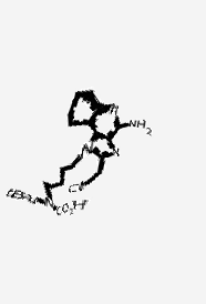 CC(C)(C)N(CCCn1c(CCl)nc2c(N)nc3ccccc3c21)C(=O)O